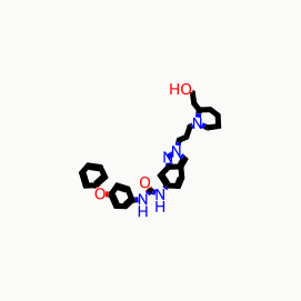 O=C(Nc1ccc(Oc2ccccc2)cc1)Nc1ccc2cn(CCCN3CCCCC3CCO)nc2c1